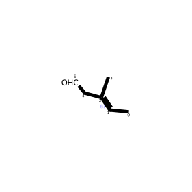 C/C=C(\C)CC=O